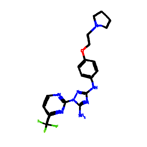 Nc1nc(Nc2ccc(OCCN3CCCC3)cc2)nn1-c1nccc(C(F)(F)F)n1